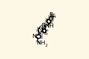 C=C(/C=C\C(C#N)=C/N)N1CCOc2c(C(=O)Nc3ccc(CC(F)(F)F)cc3)cccc21